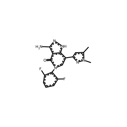 Cc1cc(-c2cn(-c3c(F)cccc3F)c(=O)c3c(N)n[nH]c23)nn1C